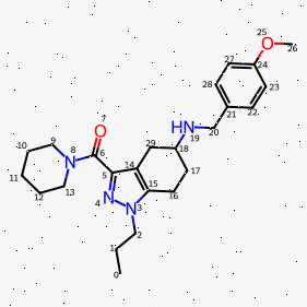 CCCn1nc(C(=O)N2CCCCC2)c2c1CCC(NCc1ccc(OC)cc1)C2